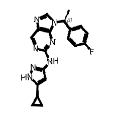 C[C@@H](c1ccc(F)cc1)n1cnc2cnc(Nc3cc(C4CC4)[nH]n3)nc21